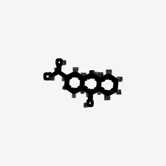 O=C(Cl)c1ccc2c(=O)c3ccccc3sc2c1